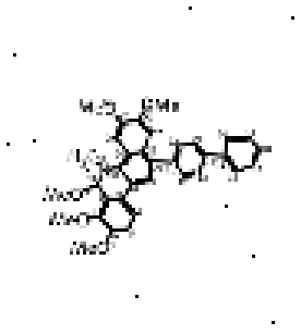 COC1=C2C(=CCC1OC)c1cc(-c3ccc(-c4ccccc4)cc3)c3cc(OC)c(OC)cc3c1N(C)C2OC